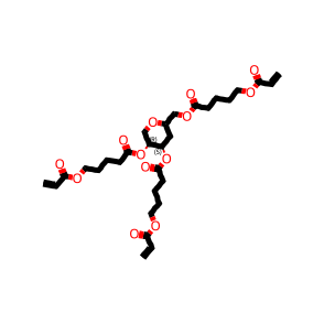 C=CC(=O)OCCCCC(=O)OCC1C[C@H](OC(=O)CCCCOC(=O)C=C)[C@H](OC(=O)CCCCOC(=O)C=C)CO1